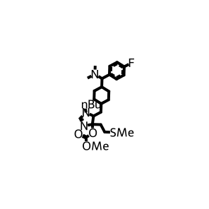 CCCCN1C=NC(CCSC)(OC(=O)OC)C1CC1CCC(C(c2ccc(F)cc2)N(C)C)CC1